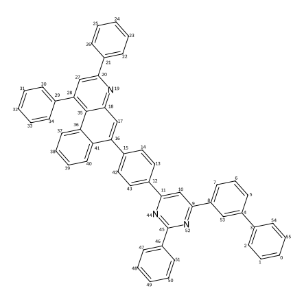 c1ccc(-c2cccc(-c3cc(-c4ccc(-c5cc6nc(-c7ccccc7)cc(-c7ccccc7)c6c6ccccc56)cc4)nc(-c4ccccc4)n3)c2)cc1